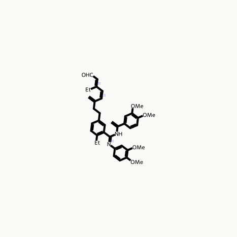 C=C(/C=C\C(=C\C=O)CC)CCc1ccc(CC)c(/C(=N/c2ccc(OC)c(OC)c2)NC(=C)c2ccc(OC)c(OC)c2)c1